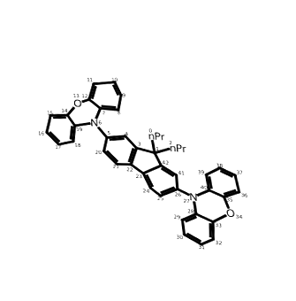 CCCC1(CCC)c2cc(N3c4ccccc4Oc4ccccc43)ccc2-c2ccc(N3c4ccccc4Oc4ccccc43)cc21